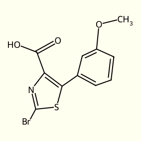 COc1cccc(-c2sc(Br)nc2C(=O)O)c1